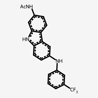 CC(=O)Nc1ccc2c(c1)[nH]c1ccc(Nc3cccc(C(F)(F)F)c3)cc12